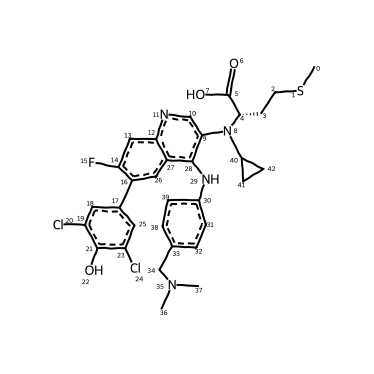 CSCC[C@@H](C(=O)O)N(c1cnc2cc(F)c(-c3cc(Cl)c(O)c(Cl)c3)cc2c1Nc1ccc(CN(C)C)cc1)C1CC1